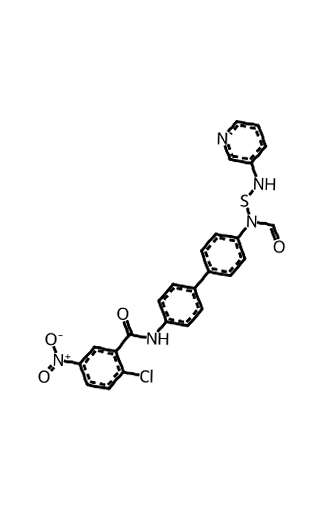 O=CN(SNc1cccnc1)c1ccc(-c2ccc(NC(=O)c3cc([N+](=O)[O-])ccc3Cl)cc2)cc1